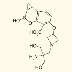 NC(CO)(CO)CN1CC(Oc2ccc3c(c2C(=O)O)OB(O)C2CC32)C1